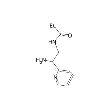 CCC(=O)NCC(N)c1ccccn1